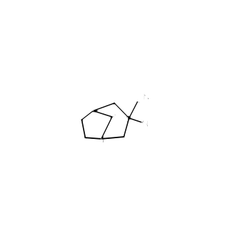 N#CC1(N)CC2CCC(C2)C1